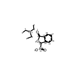 CCN(CC)CC.O=C1OC([N+](=O)[O-])c2ccccc21